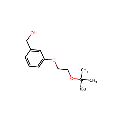 CC(C)(C)[Si](C)(C)OCCOc1cccc(CO)c1